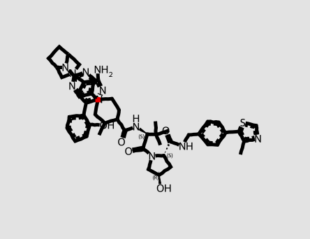 Cc1ncsc1-c1ccc(CNC(=O)[C@@H]2C[C@@H](O)CN2C(=O)[C@@H](NC(=O)C2CCC(c3cnc(N4C5CCC4CN(c4cc(-c6ccccc6O)nnc4N)C5)nc3)CC2C)C(C)(C)C)cc1